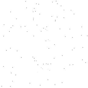 Cc1ccc(=O)n(CCCCN2CCN(c3cccc(C(F)(F)F)c3)CC2)n1